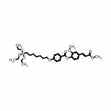 CCO[Si](CCCCCCCOc1ccc(C(=O)Oc2ccc(C=CC(=O)OC)cc2OC)cc1)(OCC)OCC